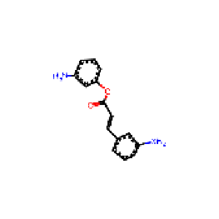 Nc1cccc(C=CC(=O)Oc2cccc(N)c2)c1